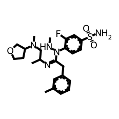 CNN(/C(Cc1cccc(C)c1)=N\C(C)CN(C)C1CCOC1)c1ccc(S(N)(=O)=O)cc1F